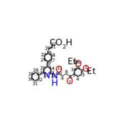 CCOc1ccc(C(=O)CCC(=O)Nc2cc(-c3ccc(C=CC(=O)O)cc3)cc(-c3ccccc3)n2)cc1OCC